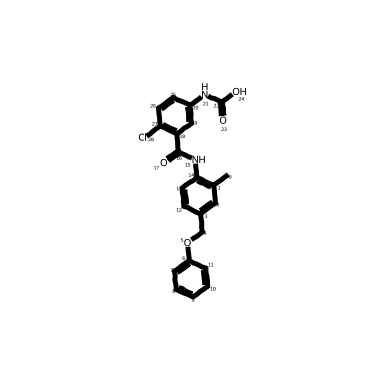 Cc1cc(COc2ccccc2)ccc1NC(=O)c1cc(NC(=O)O)ccc1Cl